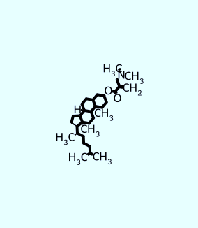 C=C(CN(C)C)C(=O)O[C@H]1CC[C@@]2(C)C(CC[C@@H]3C2CC[C@@]2(C)C3CC[C@@H]2[C@H](C)CCCC(C)C)C1